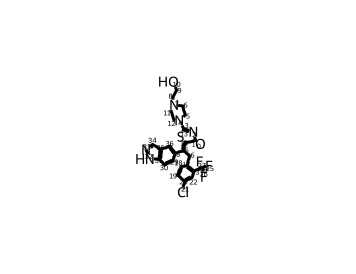 O=C1N=C(N2CCN(CCO)CC2)SC1=C(Cc1ccc(Cl)cc1C(F)(F)F)c1ccc2[nH]ncc2c1